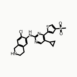 CS(=O)(=O)c1csc(-c2nc(Nc3cc4c(cc3Cl)CNCC4)ncc2C2CC2)c1